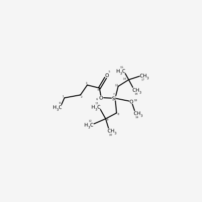 CCCCC(=O)O[Si](CC(C)(C)C)(CC(C)(C)C)OC